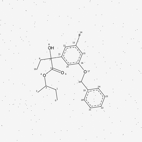 CCC(C)OC(=O)C(O)(CC)c1cc(F)cc(OCc2ccccc2)c1